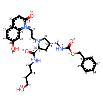 O=C(NC[C@@H]1C[C@@H](C(=O)NCCCCO)N(CCn2c(=O)ccc3ccc(O)cc32)C1)OCc1ccccc1